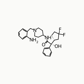 Nc1ccccc1CN1CCC(NC(=O)[C@](O)(c2ccccc2)[C@@H]2CCC(F)(F)C2)CC1